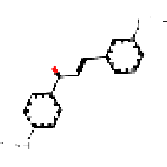 CC(=O)Nc1ccc(C(=O)/C=C/c2cccc(C(=O)O)c2)cc1